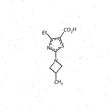 CCc1nc(N2CC(C)C2)sc1C(=O)O